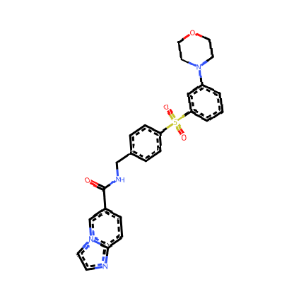 O=C(NCc1ccc(S(=O)(=O)c2cccc(N3CCOCC3)c2)cc1)c1ccc2nccn2c1